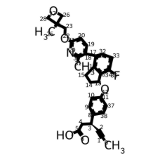 CC#C[C@@H](CC(=O)O)c1ccc(O[C@@H]2CCc3c(-c4ccc(OCC5(C)COC5)nc4C)ccc(F)c32)cc1